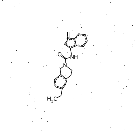 CCc1ccc2c(c1)CCN(C(=O)Nc1c[nH]c3ccccc13)C2